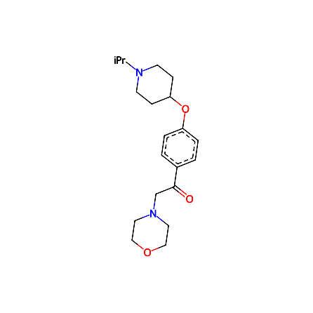 CC(C)N1CCC(Oc2ccc(C(=O)CN3CCOCC3)cc2)CC1